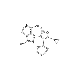 CC(C)n1nc(-c2noc(C3CC3)c2-c2ncccn2)c2c(N)nccc21